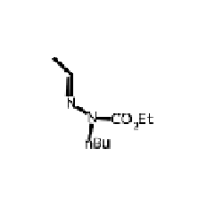 C/C=N/N(CCCC)C(=O)OCC